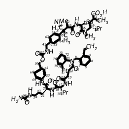 C=Cc1ccccc1CN(C(=O)CCC(=O)N[C@H](C(=O)N[C@@H](CCCNC(N)=O)C(=O)Nc1ccc(COC(=O)NCc2ccc(C(C)(C)C(NC)C(=O)N[C@H](C(=O)N(C)[C@H](CC(C)C(=O)O)C(C)C)C(C)(C)C)cc2)cc1)C(C)C)c1ccccc1CC